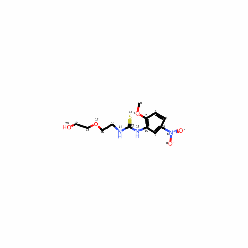 COc1ccc([N+](=O)[O-])cc1NC(=S)NCCOCCO